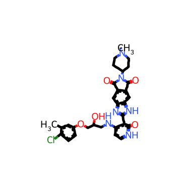 Cc1cc(OCC(O)CNc2cc[nH]c(=O)c2-c2nc3cc4c(cc3[nH]2)C(=O)N(C2CCN(C)CC2)C4=O)ccc1Cl